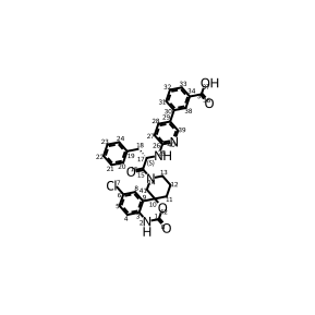 O=C1Nc2ccc(Cl)cc2C2(CCCN(C(=O)[C@H](Cc3ccccc3)Nc3ccc(-c4cccc(C(=O)O)c4)cn3)C2)O1